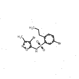 CCCc1ccc(Br)cc1S(=O)(=O)Nc1onc(C)c1Br